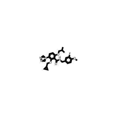 COc1ccc(CNC(=O)c2c(OCC(C)C)ccc(-n3cnnc3)c2OCC2CC2)cc1F